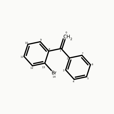 C=C(c1ccccc1)c1ccccc1Br